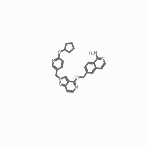 Nc1nccc2cc(CNc3nccc4nn(Cc5ccc(OC6CCCC6)nc5)cc34)ccc12